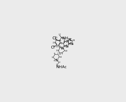 CC(=O)NCCN1CCC[C@H](C2CCN(c3cc(N[C@H](C)c4ccc(Cl)cc4Cl)n4ncnc4n3)CC2)C1